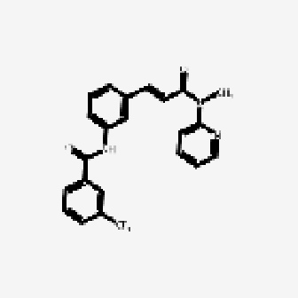 CN(C(=O)C=Cc1cccc(NC(=O)c2cccc(C(F)(F)F)c2)c1)c1ccccn1